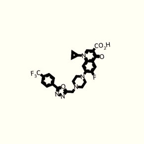 O=C(O)c1cn(C2CC2)c2cc(N3CCN(Cc4nnc(-c5ccc(C(F)(F)F)cc5)o4)CC3)c(F)cc2c1=O